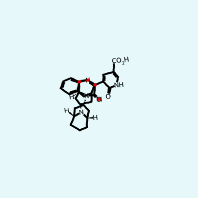 O=C(O)c1c[nH]c(=O)c(-c2nc3ccccc3n([C@H]3C[C@H]4CCC[C@@H](C3)N4[C@H]3C[C@@H]4CCC[C@@H](C4)C3)c2=O)c1